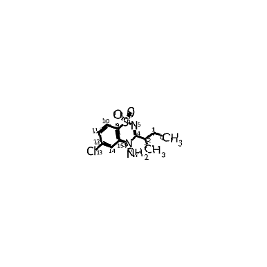 CCC(C)C1=NS(=O)(=O)c2ccc(Cl)cc2N1N